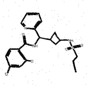 CCCS(=O)(=O)NC1CC(C(NC(=O)c2ccc(Cl)cc2Cl)c2ccccn2)C1